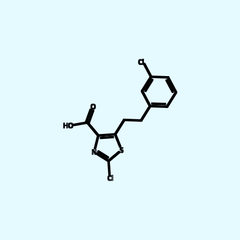 O=C(O)c1nc(Cl)sc1CCc1cccc(Cl)c1